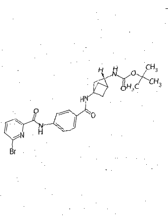 CC(C)(C)OC(=O)N[C@H]1CC2(NC(=O)c3ccc(NC(=O)c4cccc(Br)n4)cc3)CC1C2